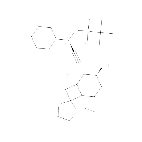 CC[C@@]12CC[C@H](O)[C@@H](C#C[C@H](O[Si](C)(C)C(C)(C)C)C3CCCCC3)[C@@H]1CC21OCCO1